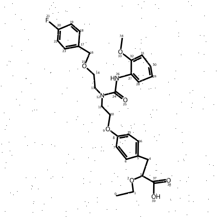 CCOC(Cc1ccc(OCCN(CCOCc2ccc(F)cc2)C(=O)Nc2ccccc2OC)cc1)C(=O)O